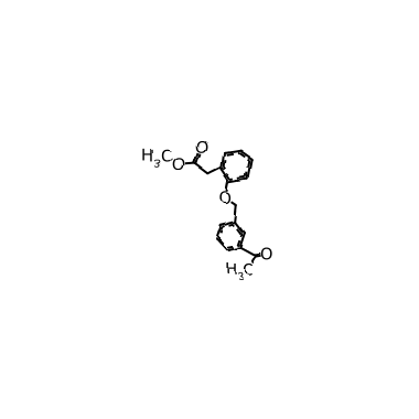 COC(=O)Cc1ccccc1OCc1cccc(C(C)=O)c1